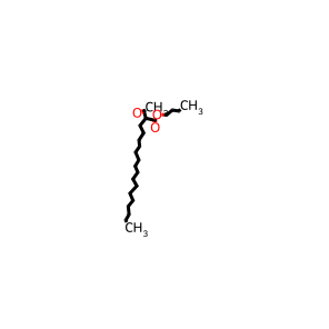 CCCCCCCCCCCCCCCCC(C(C)=O)C(=O)OCCCC